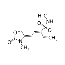 C=C/C(=C\C=C1/COC(=O)N1C)S(=O)(=O)NC